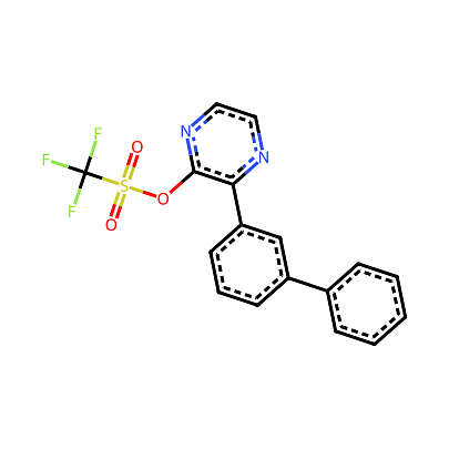 O=S(=O)(Oc1nccnc1-c1cccc(-c2ccccc2)c1)C(F)(F)F